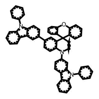 c1ccc(-n2c3ccccc3c3cc(-c4ccc5c(c4)C4(c6ccccc6Oc6ccccc64)c4ccccc4N5c4ccc5c6ccccc6n(-c6ccccc6)c5c4)ccc32)cc1